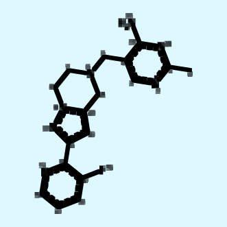 Cc1ncc(CN2CCn3nc(-c4ncccc4F)cc3C2)c(N)n1